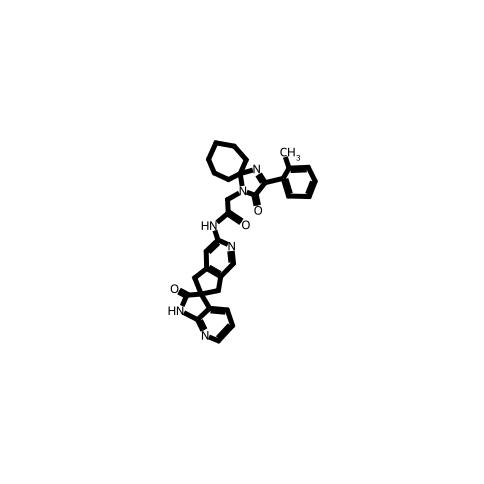 Cc1ccccc1C1=NC2(CCCCCC2)N(CC(=O)Nc2cc3c(cn2)CC2(C3)C(=O)Nc3ncccc32)C1=O